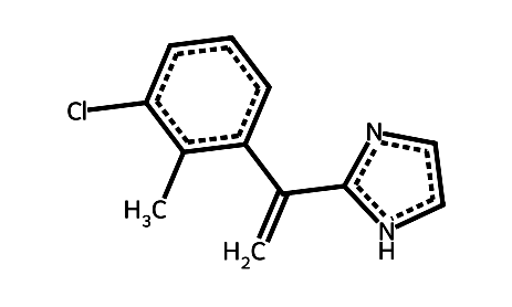 C=C(c1ncc[nH]1)c1cccc(Cl)c1C